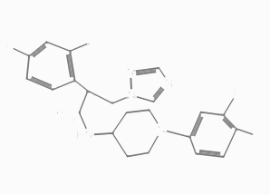 C[C@@H](NC1CCN(c2ccc(Cl)c(F)c2)CC1)[C@](O)(Cn1cncn1)c1ccc(F)cc1F